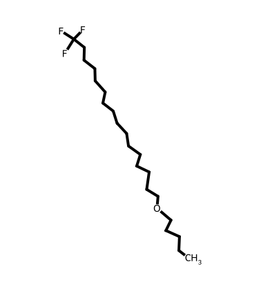 CCCCCOCCCCCCCCCCCCCCCC(F)(F)F